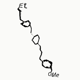 CC/C=C/Cc1ccc(CC[C@H]2CC[C@H](CCCCc3ccc(COC)cc3)CC2)cc1